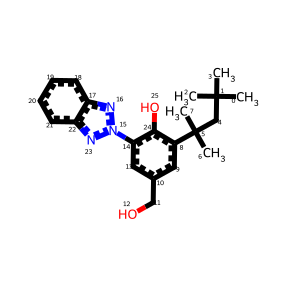 CC(C)(C)CC(C)(C)c1cc(CO)cc(-n2nc3ccccc3n2)c1O